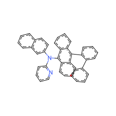 c1ccc(-c2ccccc2-c2c3ccccc3c(N(c3ccc4ccccc4c3)c3ccccn3)c3ccccc23)cc1